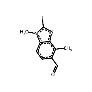 Cc1c(C=O)ccc2c1nc(I)n2C